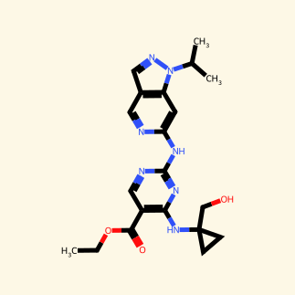 CCOC(=O)c1cnc(Nc2cc3c(cn2)cnn3C(C)C)nc1NC1(CO)CC1